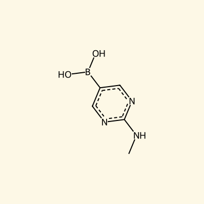 CNc1ncc(B(O)O)cn1